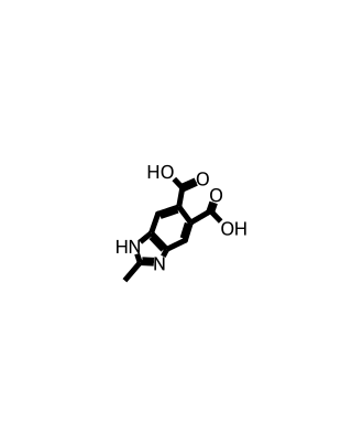 Cc1nc2cc(C(=O)O)c(C(=O)O)cc2[nH]1